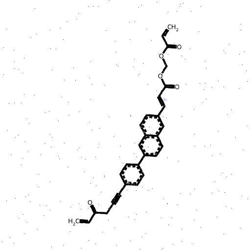 C=CC(=O)CC#Cc1ccc(-c2ccc3cc(/C=C/C(=O)OCOC(=O)C=C)ccc3c2)cc1